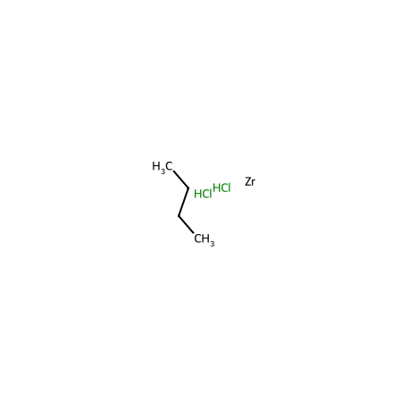 CCCC.Cl.Cl.[Zr]